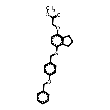 COC(=O)COc1ccc(SCc2ccc(OCc3ccccc3)cc2)c2c1CCC2